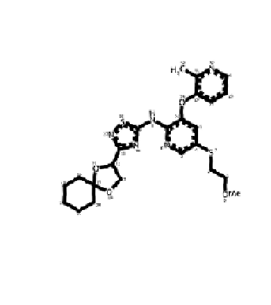 COCCSc1cnc(Nc2nc(C3COC4(CCCCC4)O3)ns2)c(Oc2cccnc2C)c1